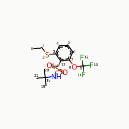 CCSc1cccc(OC(F)(F)F)c1S(=O)(=O)NC(C)(C)C